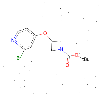 CC(C)(C)OC(=O)N1CC(Oc2ccnc(Br)c2)C1